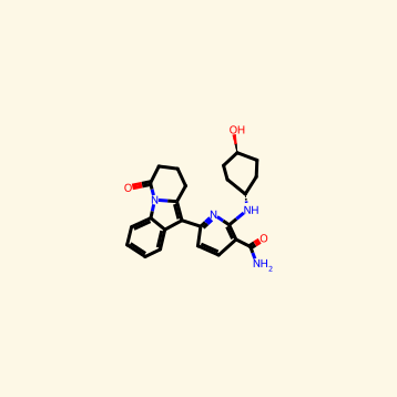 NC(=O)c1ccc(-c2c3n(c4ccccc24)C(=O)CCC3)nc1N[C@H]1CC[C@H](O)CC1